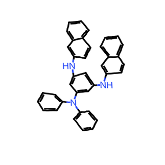 c1ccc(N(c2ccccc2)c2cc(Nc3ccc4ccccc4c3)cc(Nc3ccc4ccccc4c3)c2)cc1